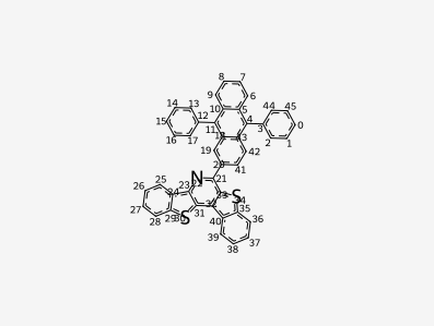 c1ccc(-c2c3ccccc3c(-c3ccccc3)c3cc(-c4nc5c6ccccc6sc5c5c4sc4ccccc45)ccc23)cc1